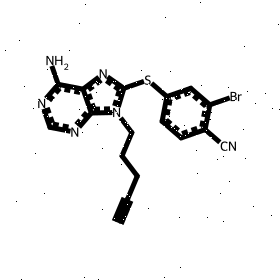 C#CCCCn1c(Sc2ccc(C#N)c(Br)c2)nc2c(N)ncnc21